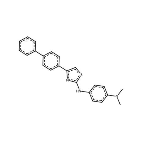 CN(C)c1ccc(Nc2nc(-c3ccc(-c4ccccc4)cc3)cs2)cc1